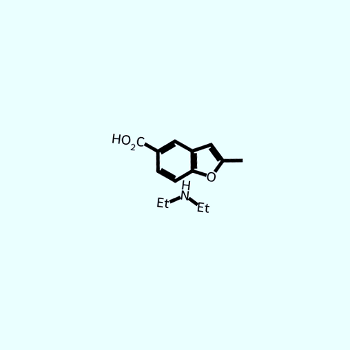 CCNCC.Cc1cc2cc(C(=O)O)ccc2o1